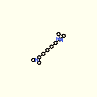 c1ccc(-n2c3ccccc3c3cc(-c4ccc(-c5ccc(-c6ccc(-c7ccc(-c8cnc9c%10ccccc%10c%10ccccc%10c9n8)cc7)cc6)cc5)cc4)ccc32)cc1